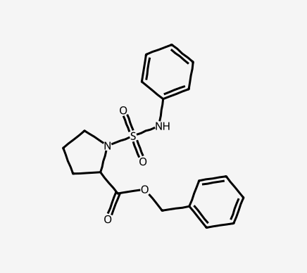 O=C(OCc1ccccc1)C1CCCN1S(=O)(=O)Nc1ccccc1